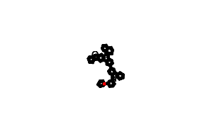 c1ccc(-c2cccc(-n3c4ccccc4c4cc(-c5ccc6c(c5)c5cc7c(cc5n6-c5cccc6ccccc56)oc5ccccc57)ccc43)c2)cc1